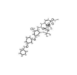 CCOP(=O)(/C=C\C(CCCc1ccc(Sc2cccc(OCc3ccccc3)c2)cc1Cl)NC(=O)OC(C)(C)C)OCC